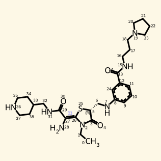 CCN1C(=O)[C@@H](CNc2cccc(C(=O)NCCCN3CCCC3)c2)S/C1=C(/N)C(=O)NCC1CCNCC1